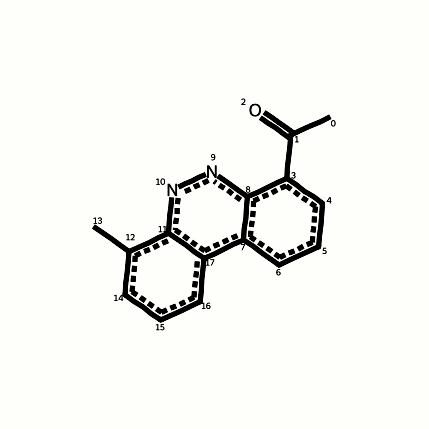 CC(=O)c1cccc2c1nnc1c(C)cccc12